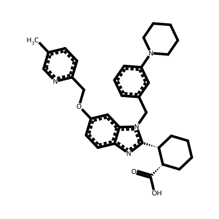 Cc1ccc(COc2ccc3nc([C@@H]4CCCC[C@@H]4C(=O)O)n(Cc4cccc(N5CCCCC5)c4)c3c2)nc1